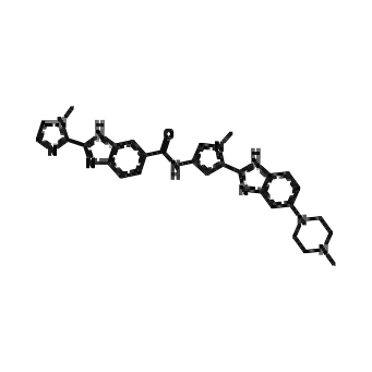 CN1CCN(c2ccc3[nH]c(-c4cc(NC(=O)c5ccc6nc(-c7nccn7C)[nH]c6c5)cn4C)nc3c2)CC1